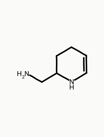 NCC1CCC=CN1